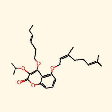 CCC=CCCOc1c(OC(C)C)c(=O)oc2cccc(OCC=C(C)CCC=C(C)C)c12